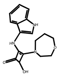 O=C1C(Nc2c[nH]c3ccccc23)=C(N2CCCOCC2)C1O